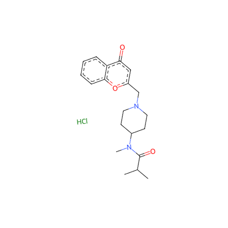 CC(C)C(=O)N(C)C1CCN(Cc2cc(=O)c3ccccc3o2)CC1.Cl